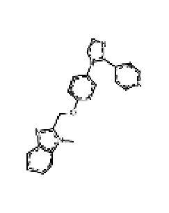 Cn1c(COc2ccc(-n3ccnc3-c3ccncc3)cc2)nc2ccccc21